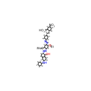 CCOc1cc(N=Nc2ccc3cc(Nc4ccccc4)ccc3c2O)c(OC)cc1N=Nc1ccc(C=Cc2ccc([N+](=O)[O-])cc2S(=O)(=O)O)cc1